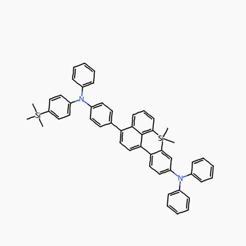 C[Si](C)(C)c1ccc(N(c2ccccc2)c2ccc(-c3ccc4c5c(cccc35)[Si](C)(C)c3cc(N(c5ccccc5)c5ccccc5)ccc3-4)cc2)cc1